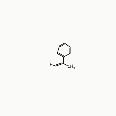 C/C(=C/F)c1ccccc1